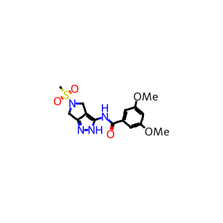 COc1cc(OC)cc(C(=O)Nc2[nH]nc3c2CN(S(C)(=O)=O)C3)c1